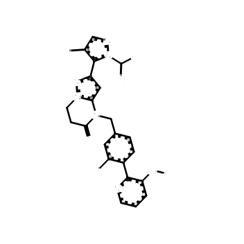 COc1cccnc1-c1ccc(CN2C(=O)CCn3nc(-c4c(Cl)cnn4C(C)C)cc32)cc1Cl